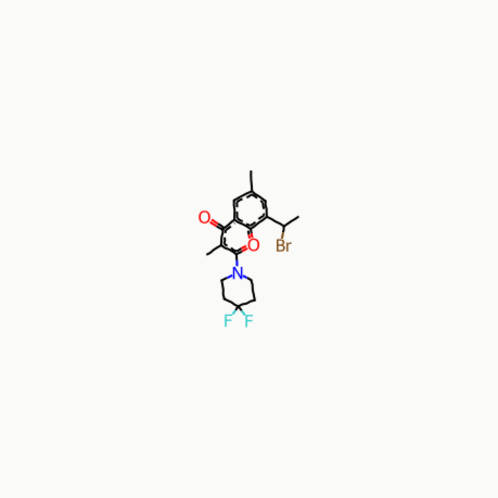 Cc1cc(C(C)Br)c2oc(N3CCC(F)(F)CC3)c(C)c(=O)c2c1